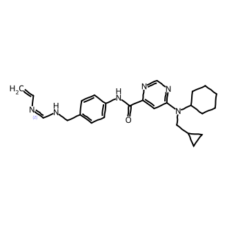 C=C/N=C\NCc1ccc(NC(=O)c2cc(N(CC3CC3)C3CCCCC3)ncn2)cc1